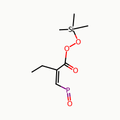 CCC(=CP=O)C(=O)OO[Si](C)(C)C